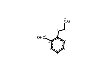 CC(C)(C)CCc1ccccc1C=O